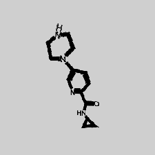 O=C(NC1CC1)c1ccc(N2CCNCC2)cn1